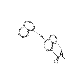 CN1Cc2cccc3c(C#Cc4cccc5ccccc45)ccc(c23)C1=O